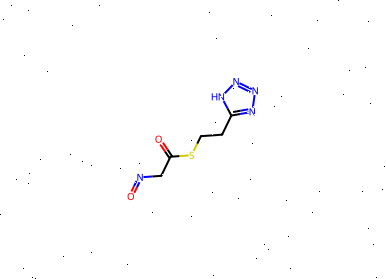 O=NCC(=O)SCCc1nnn[nH]1